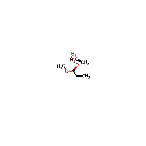 C=C.C=CC(=O)OC.O